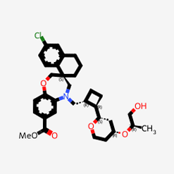 COC(=O)c1ccc2c(c1)N(C[C@@H]1CC[C@H]1[C@@H]1C[C@H](O[C@H](C)CO)CCO1)C[C@@]1(CCCc3cc(Cl)ccc31)CO2